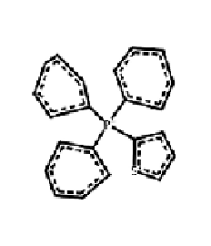 c1ccc([P+](c2ccccc2)(c2ccccc2)c2cccs2)cc1